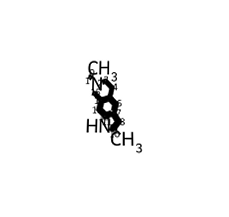 CCN1CCc2cc3cc(C)[nH]c3cc2C1